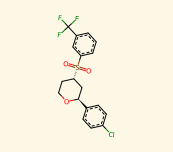 O=S(=O)(c1cccc(C(F)(F)F)c1)[C@H]1CCO[C@H](c2ccc(Cl)cc2)C1